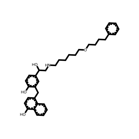 Oc1ccc(C(O)CNCCCCCCOCCCCc2ccccc2)cc1Cc1ccc(O)c2ccccc12